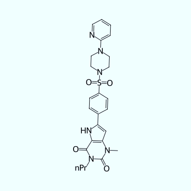 CCCn1c(=O)c2[nH]c(-c3ccc(S(=O)(=O)N4CCN(c5ccccn5)CC4)cc3)cc2n(C)c1=O